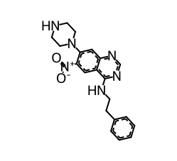 O=[N+]([O-])c1cc2c(NCCc3ccccc3)ncnc2cc1N1CCNCC1